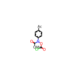 COC(=O)N(OC(=O)Cl)c1ccc(C(C)=O)cc1